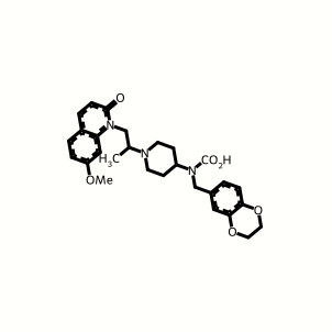 COc1ccc2ccc(=O)n(CC(C)N3CCC(N(Cc4ccc5c(c4)OCCO5)C(=O)O)CC3)c2c1